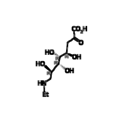 CCNC[C@@H](O)[C@@H](O)[C@H](O)[C@H](O)CC(=O)C(=O)O